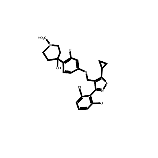 O=C(O)N1CCC(O)(c2ccc(OCc3c(-c4c(Cl)cccc4Cl)noc3C3CC3)cc2Cl)CC1